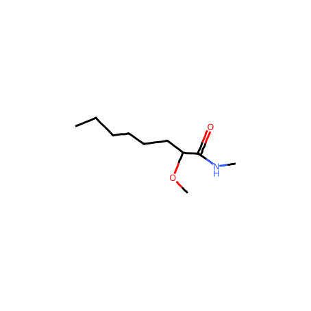 CCCCCCC(OC)C(=O)NC